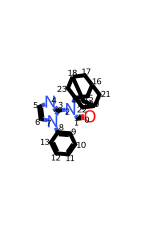 O=CN(c1nccn1-c1ccccc1)C12CC3CC(CC(C3)C1)C2